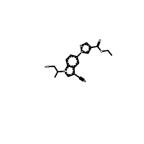 CCOC(=O)c1cnn(-c2ccc3c(c2)c(C#N)cn3C(C)CO)c1